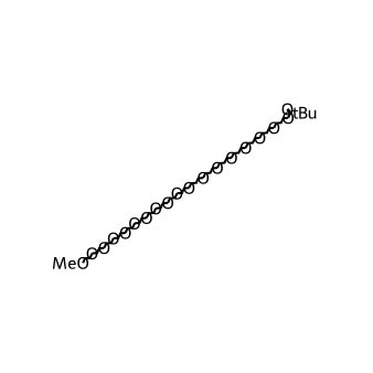 COCCOCCOCCOCCOCCOCCOCCOCCOCCOCCOCCCOCCCOCCCOCCCOCCCOCCCOCCCOC(=O)C(C)(C)C